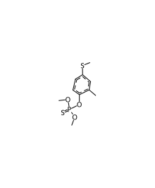 COP(=S)(OC)Oc1ccc(SC)cc1C